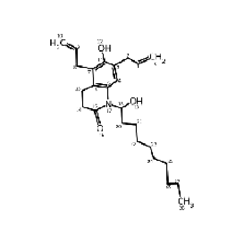 C=CCc1cc2c(c(CC=C)c1O)CCC(=O)N2C(O)CCCCCCCCC